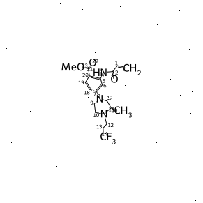 C=CC(=O)Nc1cc(N2CCN(CCC(F)(F)F)C(C)C2)ccc1C(=O)OC